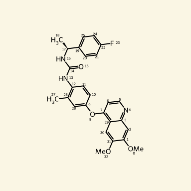 COc1cc2nccc(Oc3ccc(NC(=O)N[C@@H](C)c4ccc(F)cc4)c(C)c3)c2cc1OC